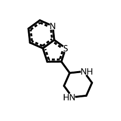 c1cnc2sc(C3CNCCN3)cc2c1